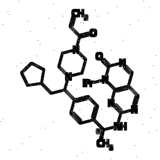 C=CC(=O)N1CCN(C(CC2CCCC2)c2ccc([C@H](C)Nc3ncc4cnc(=O)n(C(C)C)c4n3)cc2)CC1